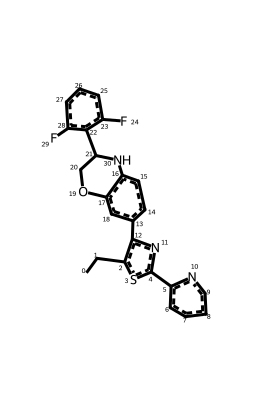 CCc1sc(-c2ccccn2)nc1-c1ccc2c(c1)OCC(c1c(F)cccc1F)N2